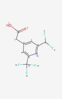 O=C(O)Cc1cc(C(F)F)nc(C(F)(F)F)c1